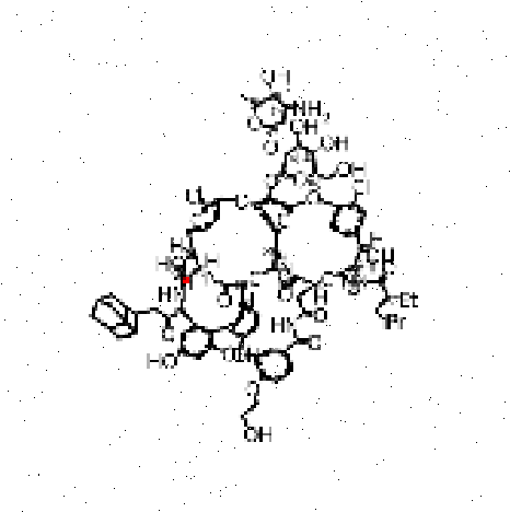 CC[C@H](CC(C)C)C(=O)N[C@H]1C(=O)C[C@@H](CC(=O)NC(=O)c2ccc(OCCO)cc2)C(=O)N[C@H]2C(=O)C[C@H]3C(=O)N[C@H](C(=O)N[C@H](C(=O)CC4C5CC6CC(C5)CC4C6)c4cc(O)cc(O)c4-c4cc3ccc4O)[C@H](O)c3ccc(c(Cl)c3)Oc3cc2cc(c3O[C@@H]2O[C@H](CO)[C@@H](O)[C@H](O)[C@H]2O[C@H]2C[C@](C)(N)[C@H](O)[C@H](C)O2)Oc2ccc(cc2Cl)[C@H]1O